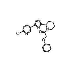 O=C(COc1ccccc1)N1CCCC[C@@H]1c1nc(-c2ccc(Cl)nc2)cs1